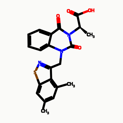 Cc1cc(C)c2c(Cn3c(=O)n([C@H](C)C(=O)O)c(=O)c4ccccc43)nsc2c1